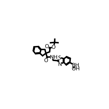 CC(C)(C)OC(=O)CC1(C(=O)NCc2nc3cc(BO)ccc3s2)Cc2ccccc2C1